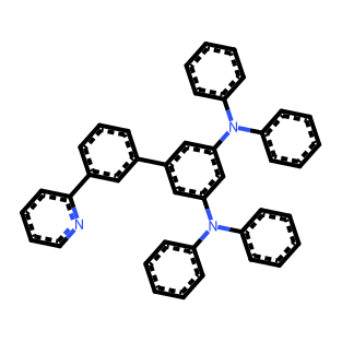 c1ccc(N(c2ccccc2)c2cc(-c3cccc(-c4ccccn4)c3)cc(N(c3ccccc3)c3ccccc3)c2)cc1